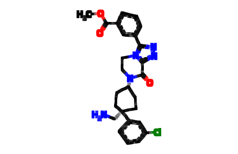 COC(=O)c1cccc(-c2nnc3n2CCN([C@H]2CC[C@](CN)(c4cccc(Cl)c4)CC2)C3=O)c1